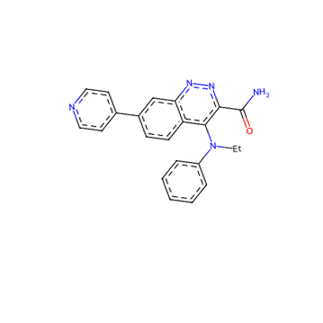 CCN(c1ccccc1)c1c(C(N)=O)nnc2cc(-c3ccncc3)ccc12